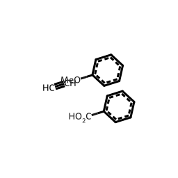 C#C.COc1ccccc1.O=C(O)c1ccccc1